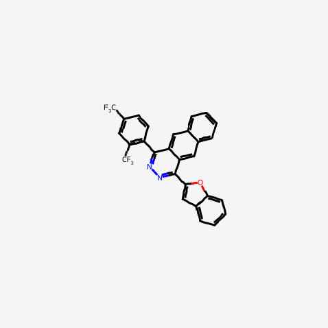 FC(F)(F)c1ccc(-c2nnc(-c3cc4ccccc4o3)c3cc4ccccc4cc23)c(C(F)(F)F)c1